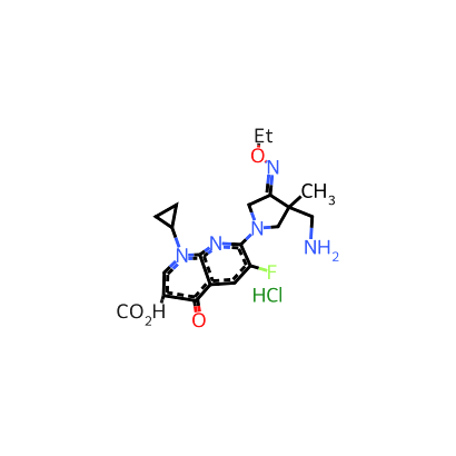 CCO/N=C1\CN(c2nc3c(cc2F)c(=O)c(C(=O)O)cn3C2CC2)CC1(C)CN.Cl